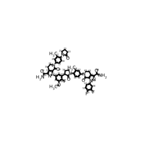 COc1cc(-n2nc(C(N)=O)c3c2C(=O)N(c2ccc(N4CCCC4=O)c(C)c2)CC3)cc(C2CCN(c3ccc(N4CCc5c(C(N)=O)nn(-c6ccc(F)c(F)c6)c5C4=O)cc3C)C2=O)c1F